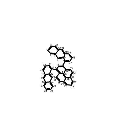 c1ccc2cc3c(-c4cc(-c5cccc6cc7ccccc7cc56)c5ccc6cccc7ccc4c5c76)cccc3cc2c1